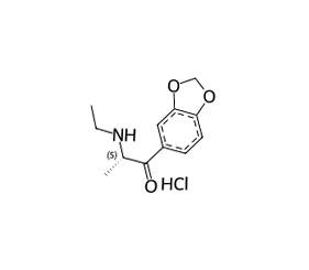 CCN[C@@H](C)C(=O)c1ccc2c(c1)OCO2.Cl